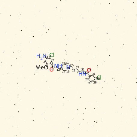 COc1cc(N)c(Cl)cc1C(=O)NCC1CCN(CCCCCNC(=O)c2cccc(Cl)c2)CC1